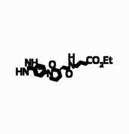 CCOC(=O)CCCNC(=O)C[C@@H]1CCCN(c2ccc(C(=N)N)cc2)C1=O